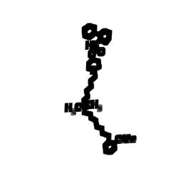 COc1ccccc1CCCCCCCC[N+](C)(C)CCCCCCN1CCC(OC(=O)Nc2ccccc2-c2ccccc2)CC1